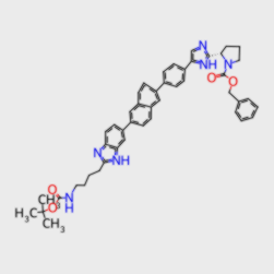 CC(C)(C)OC(=O)NCCCCc1nc2ccc(-c3ccc4cc(-c5ccc(-c6cnc([C@@H]7CCCN7C(=O)OCc7ccccc7)[nH]6)cc5)ccc4c3)cc2[nH]1